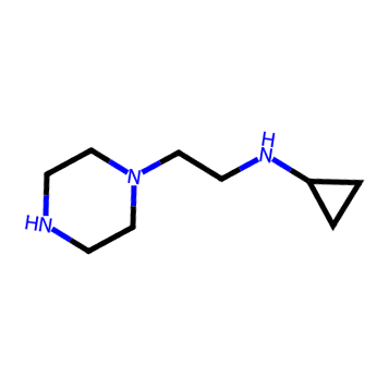 C1CN(CCNC2CC2)CCN1